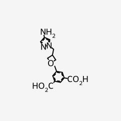 Cc1cc(C(=O)O)cc(C(=O)O)c1.Nc1cnn(CC2COC2)c1